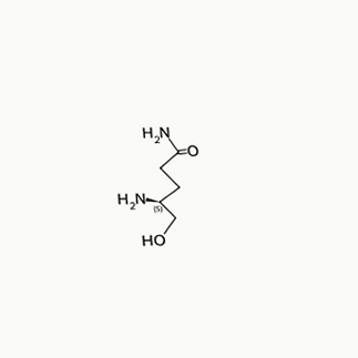 NC(=O)CC[C@H](N)CO